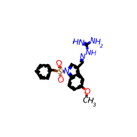 COc1ccc2c(c1)c(C=NNC(=N)N)cn2S(=O)(=O)c1ccccc1